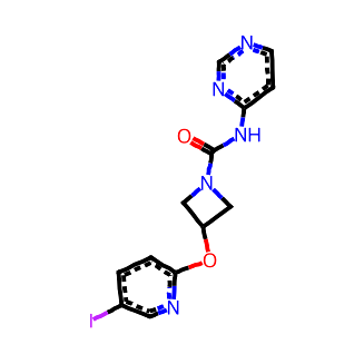 O=C(Nc1ccncn1)N1CC(Oc2ccc(I)cn2)C1